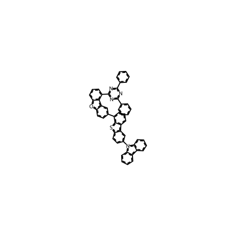 c1ccc(-c2nc(-c3ccccc3)nc(-c3cccc4oc5ccc(-c6cccc7c6sc6ccc(-n8c9ccccc9c9ccccc98)cc67)cc5c34)n2)cc1